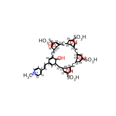 C[n+]1ccc(/C=C/C2=CC3CC4C=C(S(=O)(=O)O)C=C(CC5C=C(S(=O)(=O)O)C=C(CC6=CC(S(=O)(=O)O)=CC(CC7=CC(S(=O)(=O)O)=CC(CC(=C2)C3O)C7O)C6O)C5O)C4O)cc1